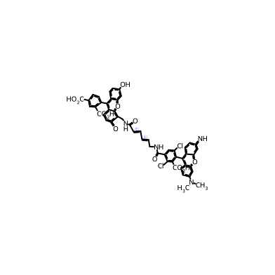 CN(C)c1ccc2c(-c3c(Cl)cc(C(=O)NC/C=C/C=C/C(=O)NCc4c5oc6cc(O)ccc6c(-c6ccc(C(=O)O)cc6C(=O)O)c-5ccc4=O)c(Cl)c3C(=O)O)c3ccc(=N)cc-3oc2c1